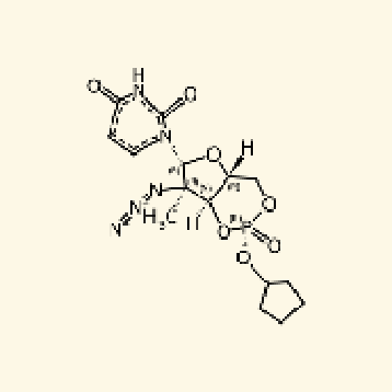 C[C@@]1(N=[N+]=[N-])[C@@H]2O[P@@](=O)(OC3CCCC3)OC[C@H]2O[C@H]1n1ccc(=O)[nH]c1=O